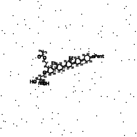 C=C(C)C(=O)OCCCc1cc(-c2ccc(-c3ccc(-c4ccc(C5CCC(CCCCC)CC5)cc4)c(CC)c3)cc2CC)ccc1OCCC(CO)(CO)CCCC